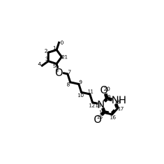 CC1CC(C)C(OCCCCCCn2c(=O)cc[nH]c2=O)C1